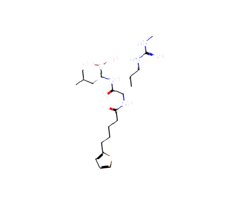 CNC(=N)NCCC[C@H](NC(=O)CCCCc1cccs1)C(=O)N[C@@H](CC(C)C)B(O)O